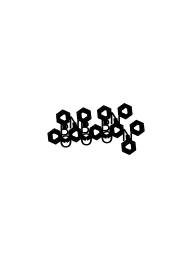 c1ccc(N(c2ccccc2)c2cc3c4c(c2)N(c2ccccc2)c2ccccc2B4c2cc4c(cc2O3)Oc2cc3c5c6c2B4c2ccccc2N6c2ccccc2B5c2ccccc2O3)cc1